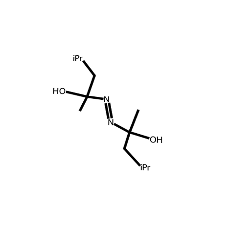 CC(C)CC(C)(O)/N=N/C(C)(O)CC(C)C